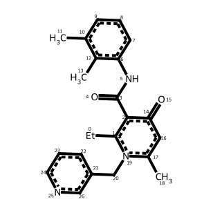 CCc1c(C(=O)Nc2cccc(C)c2C)c(=O)cc(C)n1Cc1cccnc1